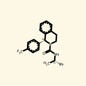 CC(C)[C@H](C)NC(=O)N1CCc2ccccc2[C@H]1c1ccc(C(F)(F)F)cc1